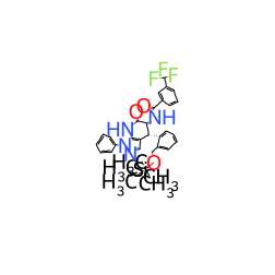 CC(C)(C)[Si](C)(C)OCc1ccccc1[C@@H]1c2cnn(-c3ccccc3)c2NC(=O)[C@H]1NC(=O)c1cccc(C(F)(F)F)c1